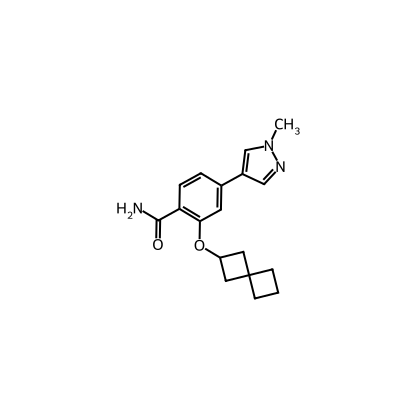 Cn1cc(-c2ccc(C(N)=O)c(OC3CC4(CCC4)C3)c2)cn1